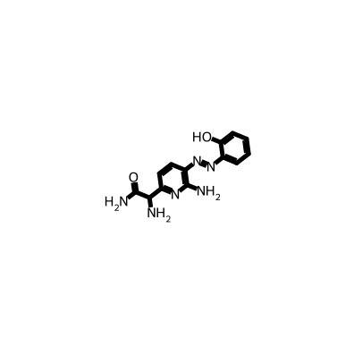 NC(=O)C(N)c1ccc(/N=N/c2ccccc2O)c(N)n1